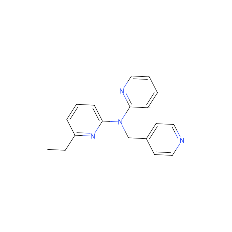 CCc1cccc(N(Cc2ccncc2)c2[c]cccn2)n1